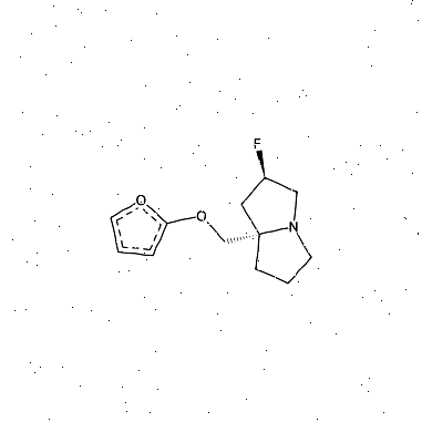 F[C@H]1CN2CCC[C@@]2(COc2ccco2)C1